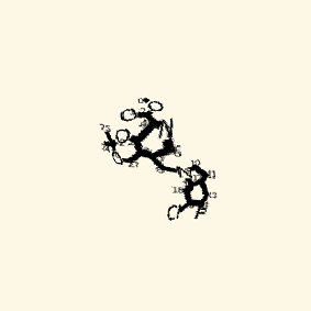 COC(=O)c1ncc(Cn2ccc3cc(F)c(Cl)cc32)c2c1OC(C)(C)OC2